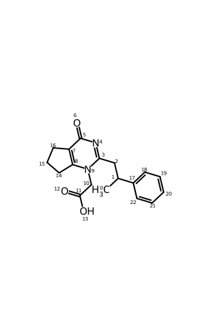 CC(Cc1nc(=O)c2c(n1CC(=O)O)CCC2)c1ccccc1